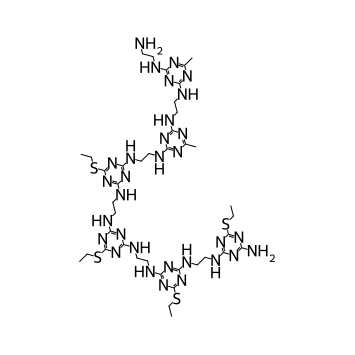 CCSc1nc(N)nc(NCCNc2nc(NCCNc3nc(NCCNc4nc(NCCNc5nc(C)nc(NCCNc6nc(C)nc(NCCN)n6)n5)nc(SCC)n4)nc(SCC)n3)nc(SCC)n2)n1